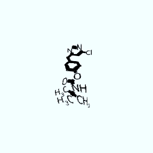 CC(C)(C)NC(=O)Oc1ccc(Cc2cc(Cl)ncn2)cc1